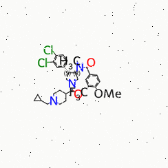 COc1ccc(C(=O)N(C)[C@H]2CN(C(=O)C3CCN(CC4CC4)CC3)C[C@@H]2c2ccc(Cl)c(Cl)c2)cc1C(F)(F)F